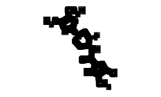 Cc1nc(N2CC[C@@H](NC(=O)c3cc(Cl)c(C)[nH]3)[C@@H](F)C2)sc1C(=O)O